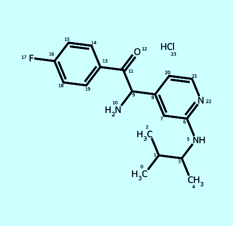 CC(C)C(C)Nc1cc(C(N)C(=O)c2ccc(F)cc2)ccn1.Cl